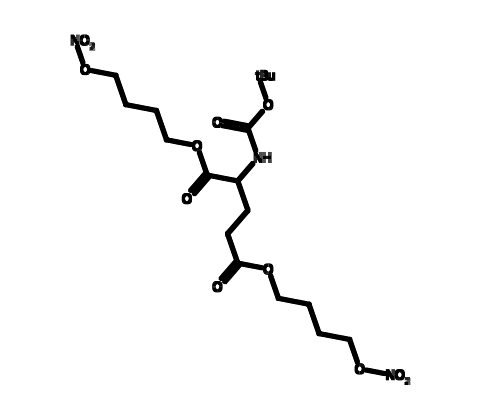 CC(C)(C)OC(=O)NC(CCC(=O)OCCCCO[N+](=O)[O-])C(=O)OCCCCO[N+](=O)[O-]